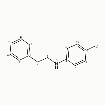 [CH2]c1ccc(NCCc2ccccc2)cc1